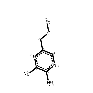 CCOCc1cnc(N)c(C#N)n1